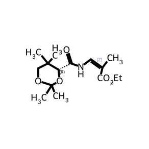 CCOC(=O)/C(C)=C\NC(=O)[C@@H]1OC(C)(C)OCC1(C)C